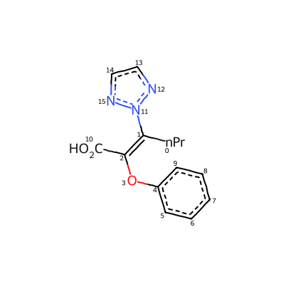 CCCC(=C(Oc1ccccc1)C(=O)O)n1nccn1